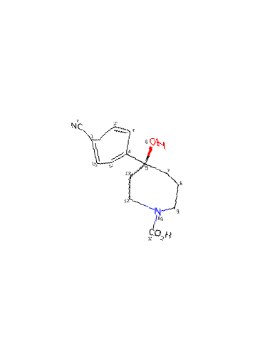 N#Cc1ccc([C@]2(O)CCCN(C(=O)O)CC2)cc1